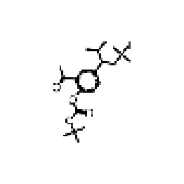 CC(=O)c1cc(C(CC(C)(C)I)C(C)C)ccc1OC(=O)OC(C)(C)C